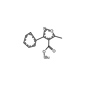 Cc1onc(-c2ccccc2)c1C(=O)OC(C)(C)C